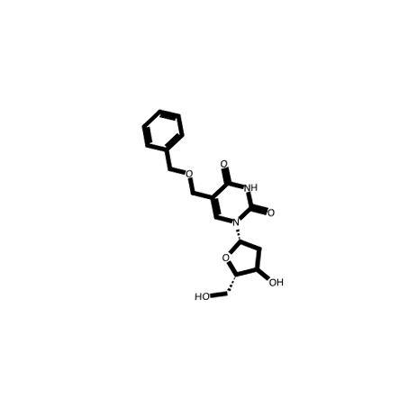 O=c1[nH]c(=O)n([C@@H]2CC(O)[C@H](CO)O2)cc1COCc1ccccc1